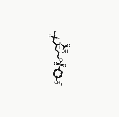 Cc1ccc(S(=O)(=O)OCCCC(CC(F)(F)F)NC(=O)O)cc1